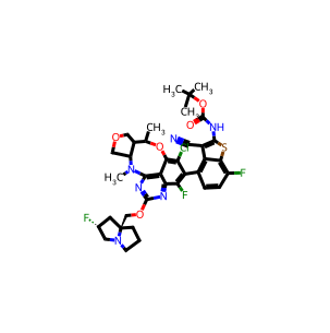 CC1Oc2c(Cl)c(-c3ccc(F)c4sc(NC(=O)OC(C)(C)C)c(C#N)c34)c(F)c3nc(OC[C@@]45CCCN4C[C@H](F)C5)nc(c23)N(C)C2COCC12